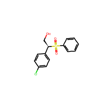 O=S(=O)(c1ccccc1)[C@H](CO)c1ccc(Cl)cc1